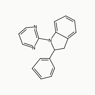 c1ccc(C2Cc3ccccc3N2c2ncccn2)cc1